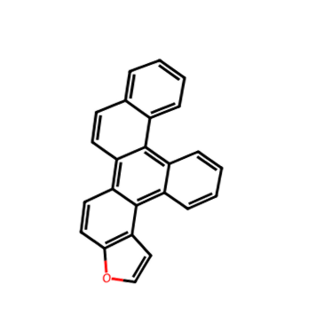 c1ccc2c(c1)ccc1c3ccc4occc4c3c3ccccc3c21